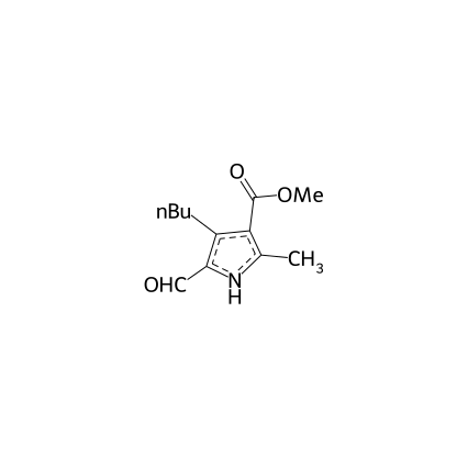 CCCCc1c(C=O)[nH]c(C)c1C(=O)OC